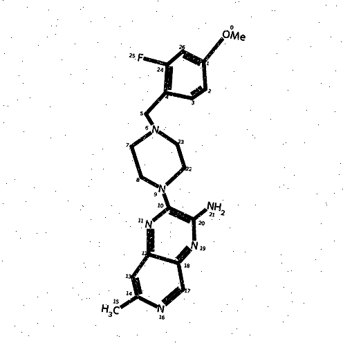 COc1ccc(CN2CCN(c3nc4cc(C)ncc4nc3N)CC2)c(F)c1